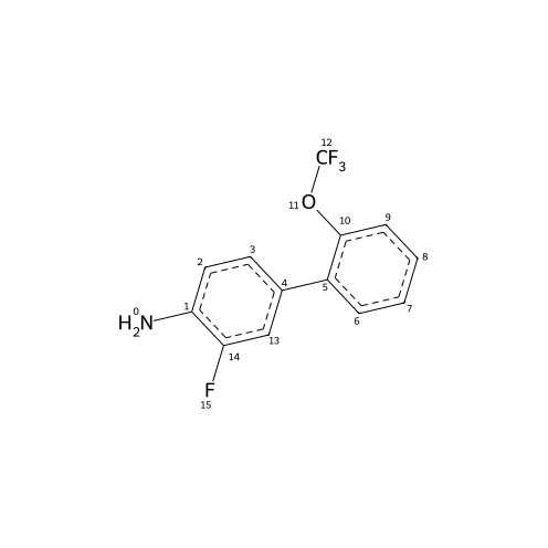 Nc1ccc(-c2ccccc2OC(F)(F)F)cc1F